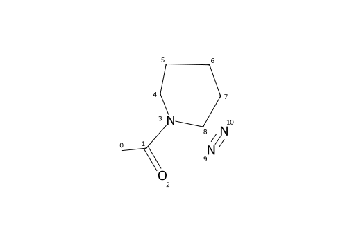 CC(=O)N1CCCCC1.N#N